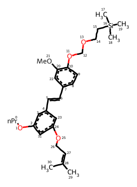 CCCOc1cc(/C=C/c2ccc(OCOCC[Si](C)(C)C)c(OC)c2)cc(OCC=C(C)C)c1